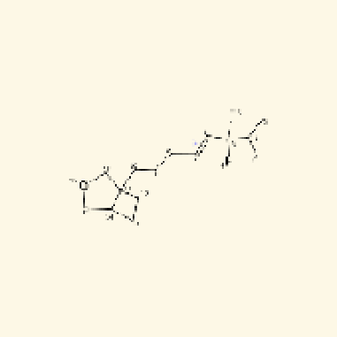 CC(C)C(F)(F)/C=C/CCCC12CCC1COC2